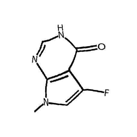 Cn1cc(F)c2c(=O)[nH]cnc21